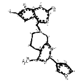 CCc1cc2c(N3CCc4c(nc(-c5ccoc5)nc4C(F)(F)F)C3)nc(Cl)nc2s1